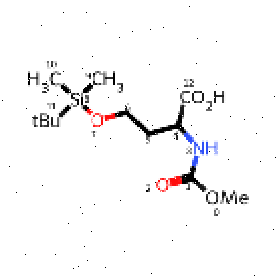 COC(=O)NC(CCO[Si](C)(C)C(C)(C)C)C(=O)O